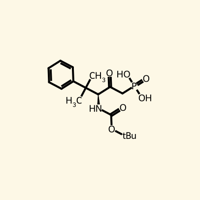 CC(C)(C)OC(=O)N[C@H](C(=O)CP(=O)(O)O)C(C)(C)c1ccccc1